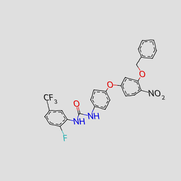 O=C(Nc1ccc(Oc2ccc([N+](=O)[O-])c(OCc3ccccc3)c2)cc1)Nc1cc(C(F)(F)F)ccc1F